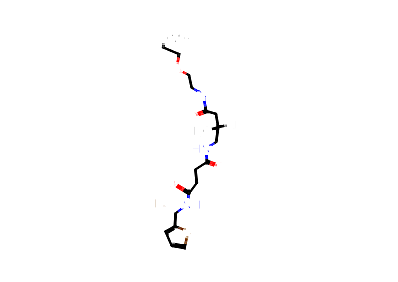 COCCOCCNC(=O)CC(C)(C)CNC(=O)CCC(=O)N[C@@H](S)c1cccs1